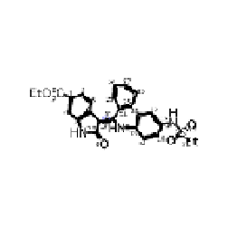 CCOC(=O)c1ccc2c(c1)NC(=O)/C2=C(\Nc1ccc(NS(=O)(=O)CC)cc1)c1ccccc1